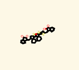 O=C1C(=O)c2ccccc2/C1=C/C1=Cc2sc3c(c2C12CCCCC2)C1(CCCCC1)c1c-3sc2cc(/C=C3\C(=O)C(=O)c4ccccc43)sc12